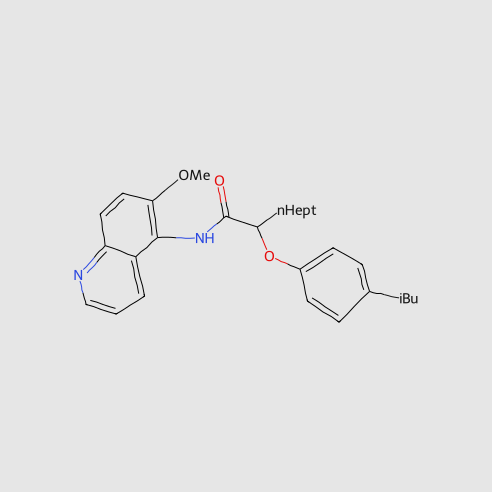 CCCCCCCC(Oc1ccc(C(C)CC)cc1)C(=O)Nc1c(OC)ccc2ncccc12